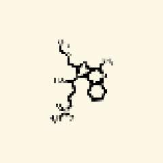 CCOCc1nc2c(N)nc3c(c2n1C(C)CCCS(N)(=O)=O)CCCC3